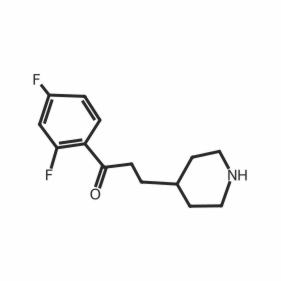 O=C(CCC1CCNCC1)c1ccc(F)cc1F